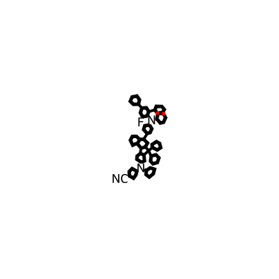 N#Cc1ccc(N(c2ccccc2)c2ccc3c(c2)C(c2ccccc2)(c2ccccc2)c2cc(-c4ccc(N(c5ccccc5)c5c(F)cc(-c6ccccc6)cc5-c5ccccc5)cc4)c4ccccc4c2-3)cc1